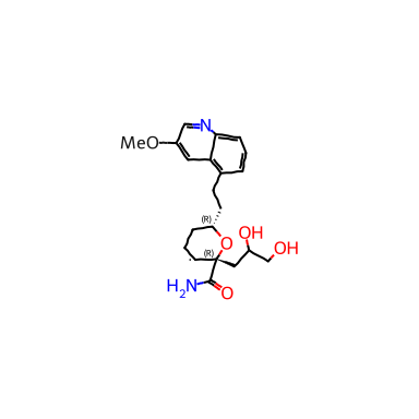 COc1cnc2cccc(CC[C@H]3CC[CH][C@@](CC(O)CO)(C(N)=O)O3)c2c1